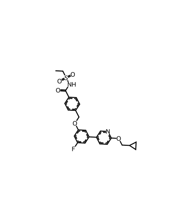 CCS(=O)(=O)NC(=O)c1ccc(COc2cc(F)cc(-c3ccc(OCC4CC4)nc3)c2)cc1